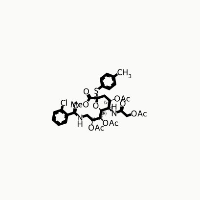 COC(=O)[C@]1(Sc2ccc(C)cc2)C[C@H](OC(C)=O)[C@@H](NC(=O)COC(C)=O)[C@H]([C@H](OC(C)=O)[C@@H](CNC(=O)c2ccccc2Cl)OC(C)=O)O1